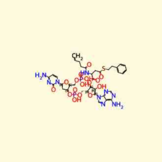 C=CCCC(=O)NC(CC(=O)SCCc1ccccc1)C(=O)O[C@H]1[C@@H](O)[C@H](n2cnc3c(N)ncnc32)O[C@@H]1COP(=O)(O)O[C@H]1C[C@H](n2ccc(N)nc2=O)O[C@H]1COP(=O)(O)O